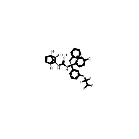 O=C(N[C@@H]1[C@H](C(=O)O)[C@@H]2C=C[C@H]1C2)N[C@@](Cc1ccccc1)(c1cccc(OC(F)(F)C(F)F)c1)c1ccc(Cl)cn1